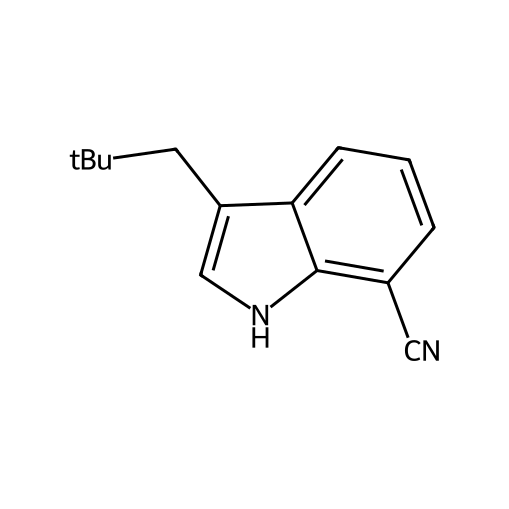 CC(C)(C)Cc1c[nH]c2c(C#N)cccc12